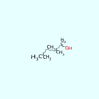 CC(C)=CCCC(C)CCCC(C)=CCCC(C)=CCO